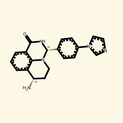 N[C@H]1CCN2c3c(cccc31)C(=O)N[C@@H]2c1ccc(-n2ccnc2)cc1